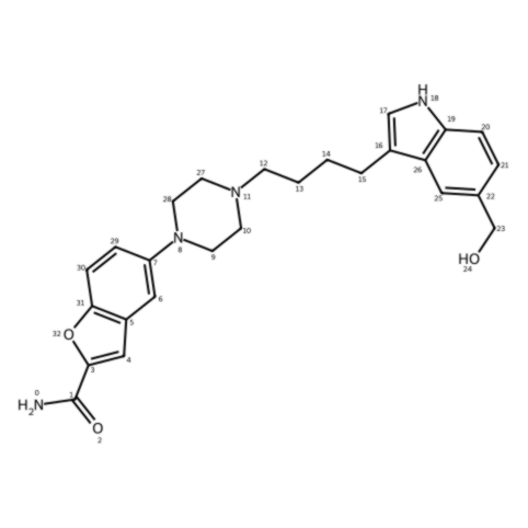 NC(=O)c1cc2cc(N3CCN(CCCCc4c[nH]c5ccc(CO)cc45)CC3)ccc2o1